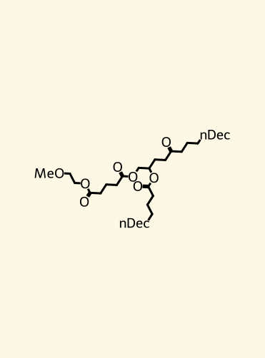 CCCCCCCCCCCCCC(=O)CCC(COC(=O)CCCC(=O)OCCOC)OC(=O)CCCCCCCCCCCCC